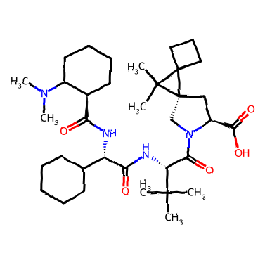 CN(C)C1CCCC[C@H]1C(=O)N[C@H](C(=O)N[C@H](C(=O)N1C[C@]2(C[C@H]1C(=O)O)C(C)(C)C21CCC1)C(C)(C)C)C1CCCCC1